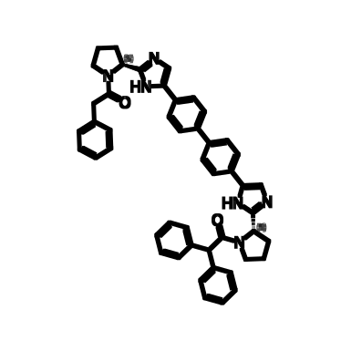 O=C(Cc1ccccc1)N1CCC[C@H]1c1ncc(-c2ccc(-c3ccc(-c4cnc([C@@H]5CCCN5C(=O)C(c5ccccc5)c5ccccc5)[nH]4)cc3)cc2)[nH]1